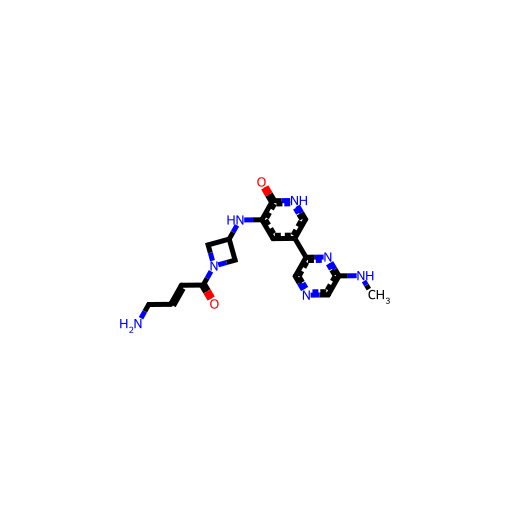 CNc1cncc(-c2c[nH]c(=O)c(NC3CN(C(=O)C=CCN)C3)c2)n1